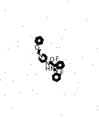 O=C(NC1CCN(CCOc2ccccc2)CC1)c1nn(C2CCCCC2F)c2cccc(F)c12